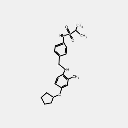 Cc1cc(OC2CCCC2)ccc1NCc1ccc(NS(=O)(=O)C(C)C)cc1